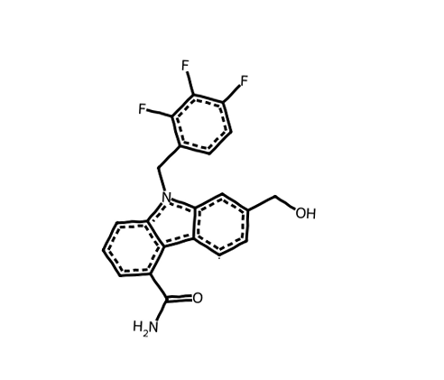 NC(=O)c1cccc2c1c1[c]cc(CO)cc1n2Cc1ccc(F)c(F)c1F